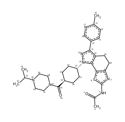 CC(=O)Nc1nc2c(s1)-c1c(c(-c3ccc(C)nc3)nn1[C@H]1CC[C@H](C(=O)N3CCN(C(C)C)CC3)CC1)CC2